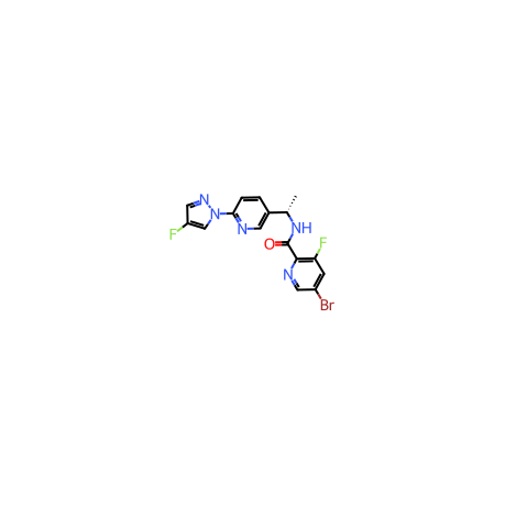 C[C@H](NC(=O)c1ncc(Br)cc1F)c1ccc(-n2cc(F)cn2)nc1